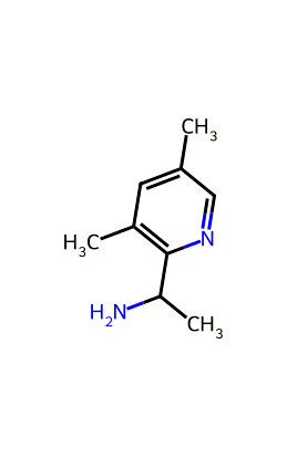 Cc1cnc(C(C)N)c(C)c1